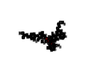 COCOc1cc(-c2c(F)cc3c(N4C[C@H]5CC[C@@](C)(C4)N5C(=O)OC(C)(C)C)nc(OCC4(CN(C)Cc5ccc(CCC(=O)O)cc5)CC4)nc3c2F)c2ccccc2c1